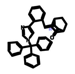 O=C1/C(=C/c2ccccc2-c2cn(C(c3ccccc3)(c3ccccc3)c3ccccc3)cn2)C2CCC1CC2